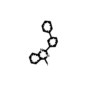 Ic1nc(-c2cccc(-c3ccccc3)c2)nc2ccccc12